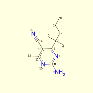 CCCC(C)(C)c1nc(N)nc(C)c1C#N